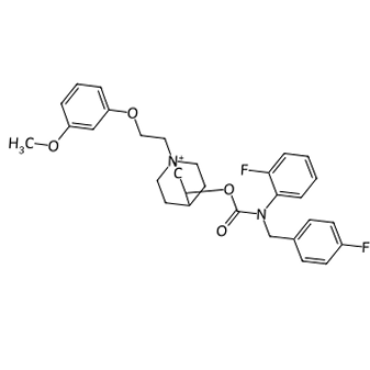 COc1cccc(OCC[N+]23CCC(CC2)C(OC(=O)N(Cc2ccc(F)cc2)c2ccccc2F)C3)c1